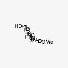 COc1ccc(C(C)(C)c2csc(NC(=O)NCc3ccc(N(C)CCO)nc3)n2)cc1